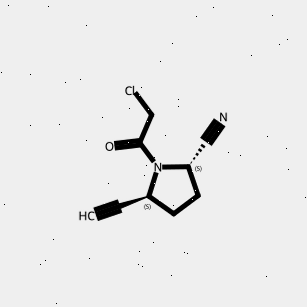 C#C[C@@H]1CC[C@@H](C#N)N1C(=O)CCl